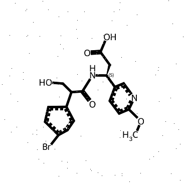 COc1ccc([C@H](CC(=O)O)NC(=O)C(CO)c2ccc(Br)cc2)cn1